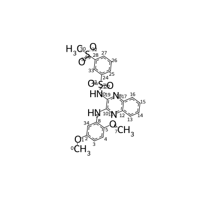 COc1ccc(OC)c(Nc2nc3ccccc3nc2NS(=O)(=O)c2cccc(S(C)(=O)=O)c2)c1